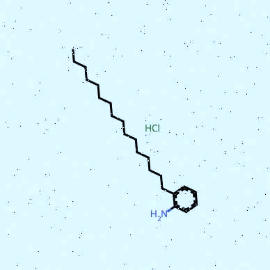 CCCCCCCCCCCCCCCCc1ccccc1N.Cl